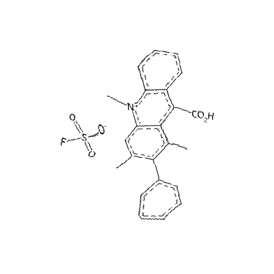 Cc1cc2c(c(C)c1-c1ccccc1)c(C(=O)O)c1ccccc1[n+]2C.O=S(=O)([O-])F